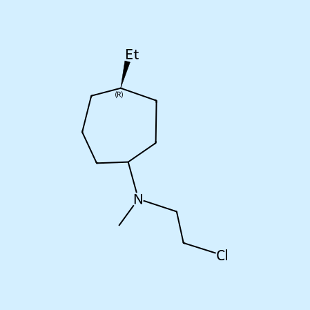 CC[C@@H]1CCCC(N(C)CCCl)CC1